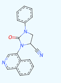 N#CC1CN(c2ccccc2)C(=O)N1c1cncc2ccccc12